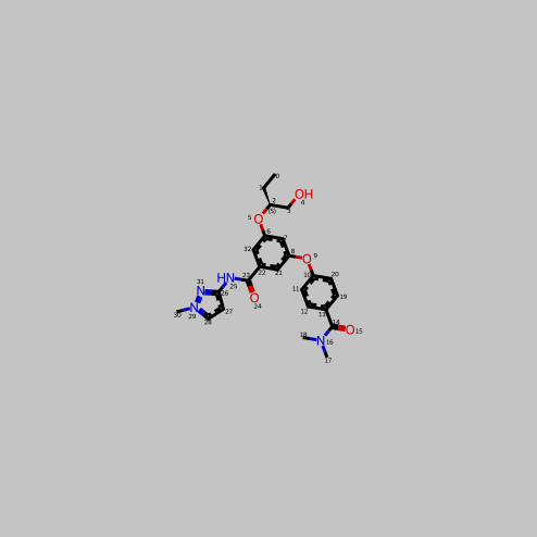 CC[C@@H](CO)Oc1cc(Oc2ccc(C(=O)N(C)C)cc2)cc(C(=O)Nc2ccn(C)n2)c1